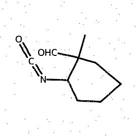 CC1(C=O)CCCCC1N=C=O